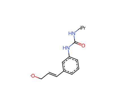 CC(C)NC(=O)Nc1cccc(/C=C/C[O])c1